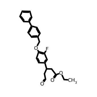 CCOC(=O)CC(CC=O)c1ccc(OCc2ccc(-c3ccccc3)cc2)c(F)c1